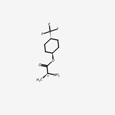 C[C@H](N)C(=O)O[C@H]1CC[C@H](C(F)(F)F)CC1